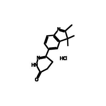 CC1=Nc2ccc(C3=NNC(=O)CC3)cc2C1(C)C.Cl